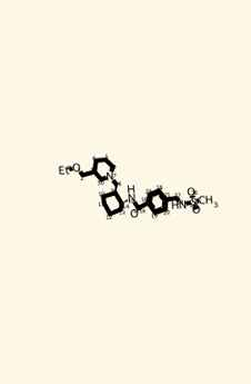 CCOCC1CCCN(C[C@@H]2CCCC[C@H]2NC(=O)c2ccc(CNS(C)(=O)=O)cc2)C1